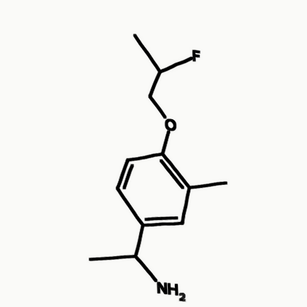 Cc1cc(C(C)N)ccc1OCC(C)F